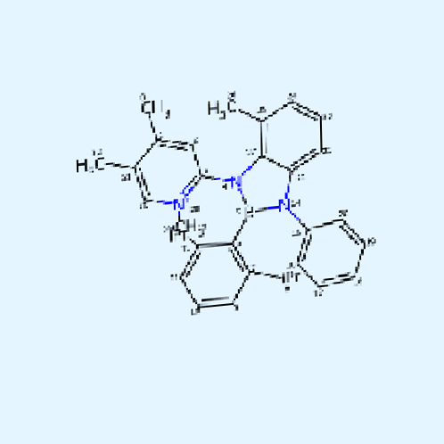 Cc1cc(N2B(c3c(C(C)C)cccc3C(C)C)N(c3ccccc3)c3cccc(C)c32)[n+](C)cc1C